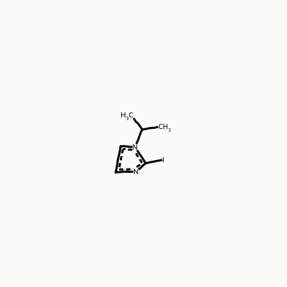 CC(C)n1ccnc1I